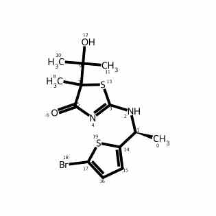 C[C@H](NC1=NC(=O)C(C)(C(C)(C)O)S1)c1ccc(Br)s1